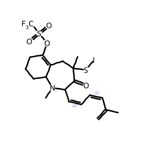 C=C(C)/C=C\C=C/C1C(=O)C(C)(SI)CC2=C(OS(=O)(=O)C(F)(F)F)CCCC2N1C